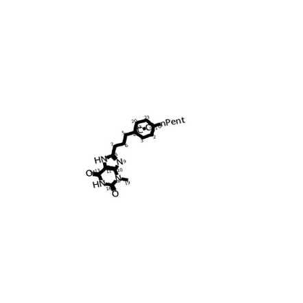 CCCCCC12CCC(CCCc3nc4c([nH]3)c(=O)[nH]c(=O)n4C)(CC1)CC2